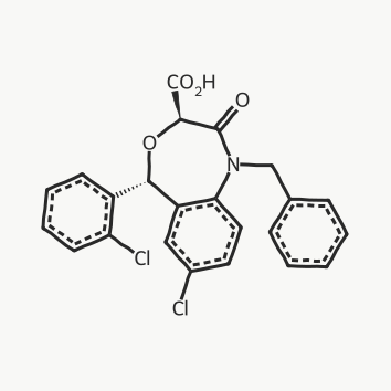 O=C(O)[C@@H]1O[C@@H](c2ccccc2Cl)c2cc(Cl)ccc2N(Cc2ccccc2)C1=O